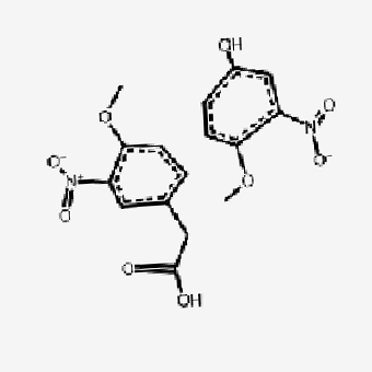 COc1ccc(CC(=O)O)cc1[N+](=O)[O-].COc1ccc(O)cc1[N+](=O)[O-]